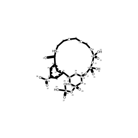 O=C1NCCCCCCOP(=O)(O)OP(=O)(O)OP2(=O)OB(OP(=O)(OP(=O)(O)O)O2)c2cc1cc([N+](=O)[O-])c2